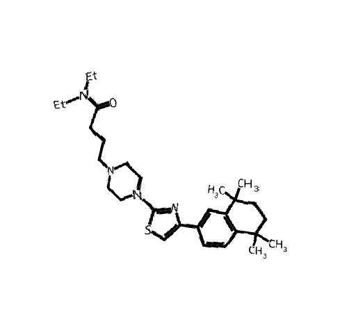 CCN(CC)C(=O)CCCN1CCN(c2nc(-c3ccc4c(c3)C(C)(C)CCC4(C)C)cs2)CC1